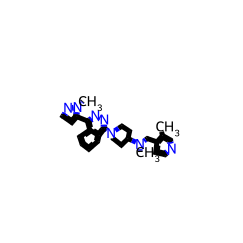 Cc1cnccc1CN(C)C1CCN(c2nnc(-c3ccnn3C)c3ccccc23)CC1